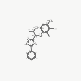 Cc1c(N[C@@H](c2nc(-c3ccccc3)no2)[C@@H](C)O)ccc(C#N)c1I